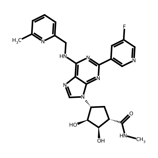 CNC(=O)[C@H]1C[C@@H](n2cnc3c(NCc4cccc(C)n4)nc(-c4cncc(F)c4)nc32)[C@H](O)[C@@H]1O